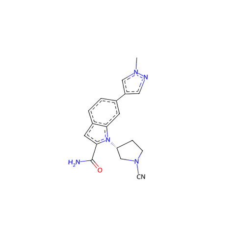 Cn1cc(-c2ccc3cc(C(N)=O)n([C@@H]4CCN(C#N)C4)c3c2)cn1